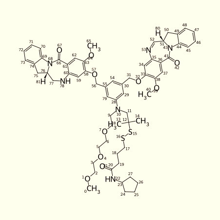 COCCOCCOCCN(CC(C)(C)SSCCCC(=O)NC1CCCC1)c1cc(COc2cc3c(cc2OC)C(=O)N2c4ccccc4C[C@H]2C=N3)cc(COc2cc3c(cc2OC)C(=O)N2c4ccccc4C[C@H]2CN3)c1